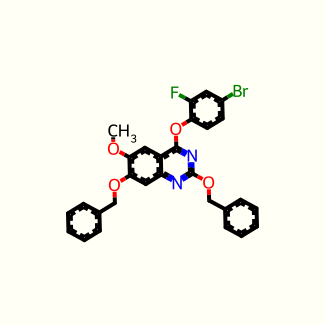 COc1cc2c(Oc3ccc(Br)cc3F)nc(OCc3ccccc3)nc2cc1OCc1ccccc1